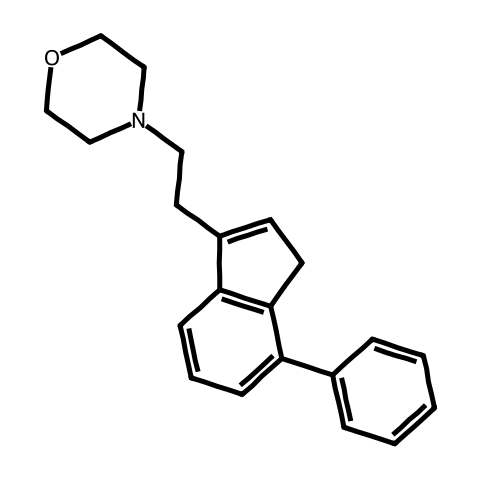 C1=C(CCN2CCOCC2)c2cccc(-c3ccccc3)c2C1